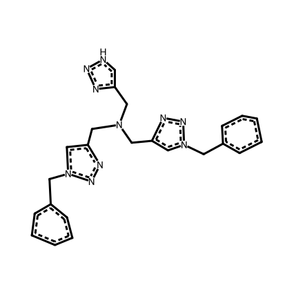 c1ccc(Cn2cc(CN(Cc3c[nH]nn3)Cc3cn(Cc4ccccc4)nn3)nn2)cc1